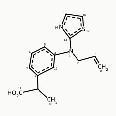 C=CCN(c1cccc(C(C)C(=O)O)c1)c1nccs1